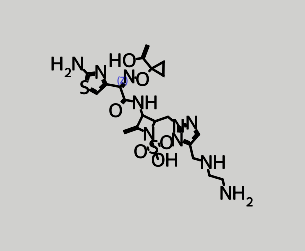 C=C1C(NC(=O)/C(=N\OC2(C(=C)O)CC2)c2csc(N)n2)C(Cn2ncc(CNCCN)n2)N1S(=O)(=O)O